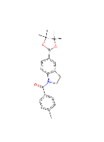 Cc1ccc(C(=O)N2CCc3cc(B4OC(C)(C)C(C)(C)O4)ccc32)cc1